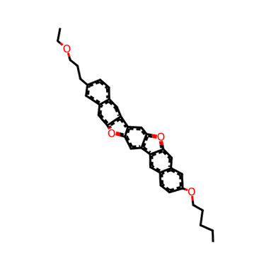 CCCCCOc1ccc2cc3c(cc2c1)oc1cc2c(cc13)oc1cc3cc(CCCOCC)ccc3cc12